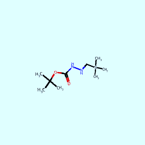 CC(C)(C)OC(=O)NNC[Si](C)(C)C